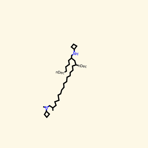 CCCCCCCCCCCCCCC(CNC1CCC1)CC(CCCCCCCCCC)CCCCCCCCCCCCCCC(C)CN(C)C1CCC1